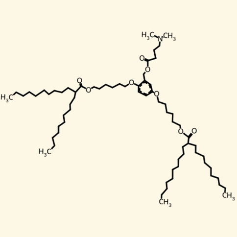 CCCCCCCCCCC(CCCCCCCCCC)C(=O)OCCCCCCOc1ccc(OCCCCCCOC(=O)C(CCCCCCCCCC)CCCCCCCCCC)c(COC(=O)CCCN(C)C)c1